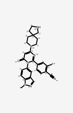 Cn1ncc2cc(-n3c(-c4ccc(C#N)c(F)c4)nc(N4CCC5(CCNC5)CC4)cc3=O)ccc21